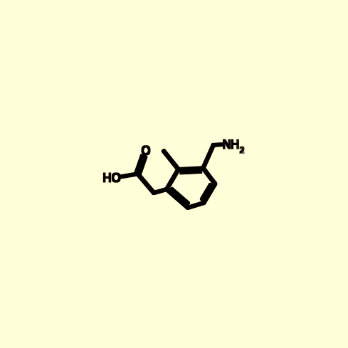 Cc1c(CN)cccc1CC(=O)O